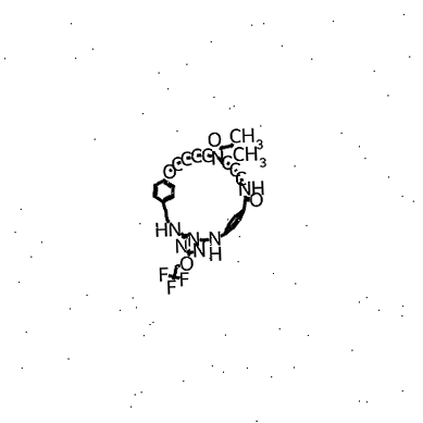 CC(C)C(=O)N1CCCCOc2ccc(cc2)CNc2nc(nc(OCC(F)(F)F)n2)Nc2ccc(cc2)C(=O)NCCC1